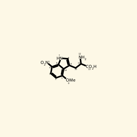 COc1ccc([N+](=O)[O-])c2[nH]cc(CC(N)C(=O)O)c12